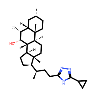 CC[C@H]1[C@@H](O)[C@@H]2[C@H](CC[C@]3(C)[C@@H]([C@H](C)CCc4nnc(C5CC5)[nH]4)CC[C@@H]23)[C@@]2(C)CC[C@@H](C)C[C@@H]12